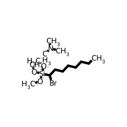 CCCCCCCC(Br)[Si](OC)(OC)OC.CN(C)C